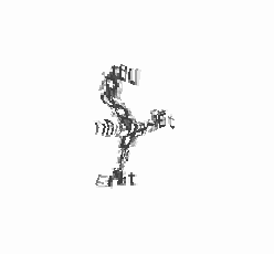 CCCCn1c(-c2ccc(OCCCN(CC)CC)cc2OCCCN(CC)CC)nc2ccc(Oc3ccc(C(C)(C)C)cc3)cc21